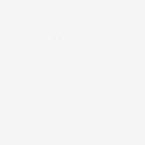 CCOc1cccc2c1ccc1c3ccccc3ccc21